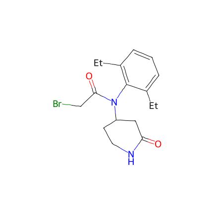 CCc1cccc(CC)c1N(C(=O)CBr)C1CCNC(=O)C1